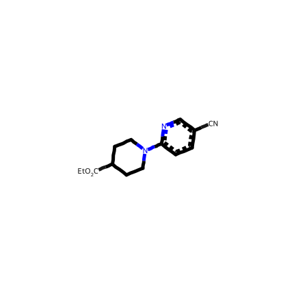 CCOC(=O)C1CCN(c2ccc(C#N)cn2)CC1